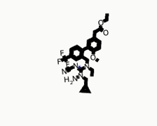 CCOC(=O)Cc1ccc(OC)c(-c2ccc(C(F)(F)F)cc2CN(CC)/C(=N/C#N)N(N)CC2CC2)c1